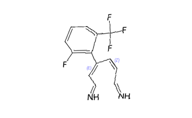 N=C/C=C\C(=C/C=N)c1c(F)cccc1C(F)(F)F